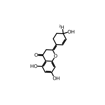 [2H]C1(O)C=CC(=C2CC(=O)c3c(O)cc(O)cc3O2)CC1